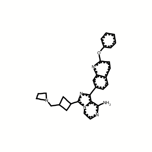 Nc1nccn2c(C3CC(CN4CCC4)C3)nc(-c3ccc4ccc(Oc5ccccc5)nc4c3)c12